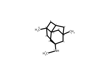 CNC12CC3(C)CC4CC(C)(C1)C4(C3)C2